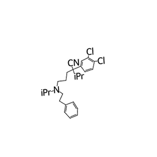 CC(C)N(CCCC(C#N)(c1ccc(Cl)c(Cl)c1)C(C)C)CCc1ccccc1